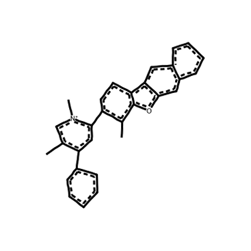 Cc1c[n+](C)c(-c2ccc3c(oc4cc5ccccc5cc43)c2C)cc1-c1ccccc1